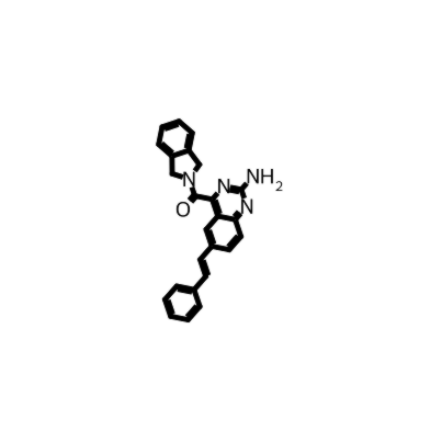 Nc1nc(C(=O)N2Cc3ccccc3C2)c2cc(/C=C/c3ccccc3)ccc2n1